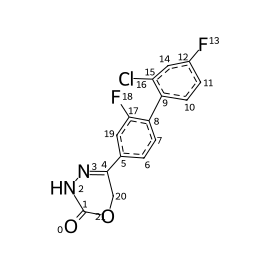 O=C1NN=C(c2ccc(-c3ccc(F)cc3Cl)c(F)c2)CO1